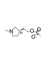 CN1CC[C@H](CCOS(C)(=O)=O)C1